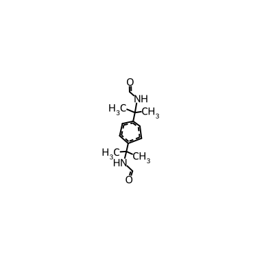 CC(C)(NC=O)c1ccc(C(C)(C)NC=O)cc1